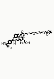 CC(C)(C)OC(=O)COCCOCCOCCOCCNC(=O)[C@H](Cc1ccccc1)NC(=O)[C@H](CC(=O)O)NC(=O)CCNC(=O)c1ccc(C(=N)N)cc1